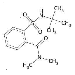 CN(C)C(=O)c1ccccc1S(=O)(=O)NC(C)(C)C